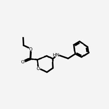 CCOC(=O)C1CC(NCc2ccccc2)CCO1